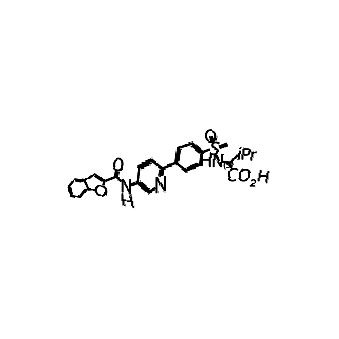 C=S(=O)(N[C@H](C(=O)O)C(C)C)c1ccc(-c2ccc(NC(=O)c3cc4ccccc4o3)cn2)cc1